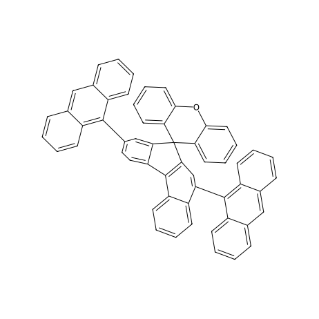 c1ccc2c(c1)Oc1ccccc1C21c2cc(-c3c4ccccc4cc4ccccc34)ccc2-c2c1cc(-c1c3ccccc3cc3ccccc13)c1ccccc21